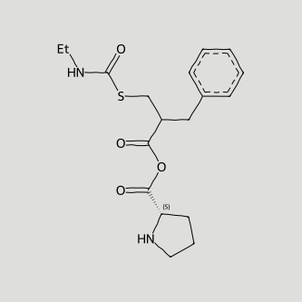 CCNC(=O)SCC(Cc1ccccc1)C(=O)OC(=O)[C@@H]1CCCN1